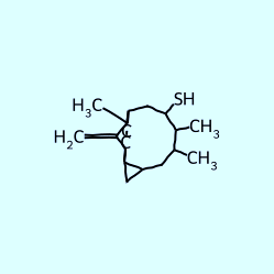 C=C1CC23CCC(CC(S)C(C)C(C)CC2C3)C1C